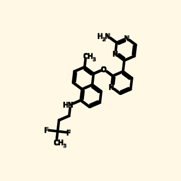 Cc1ccc2c(NCCC(C)(F)F)cccc2c1Oc1ncccc1-c1ccnc(N)n1